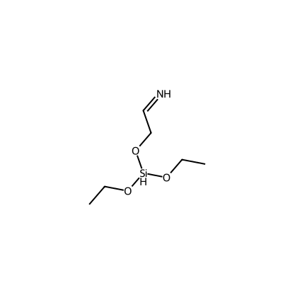 CCO[SiH](OCC)OCC=N